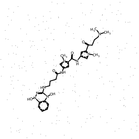 CN(C)CCCC(=O)c1cc(NC(=O)c2cc(NC(=O)CCCNC3=NN(O)c4ccccc4N3O)cn2C)cn1C